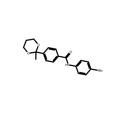 CC(C)(C)c1ccc(NC(=O)c2ccc(C3(C)OCCCO3)cc2)cc1